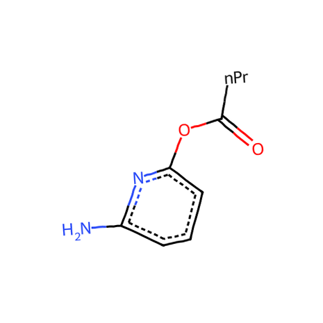 CCCC(=O)Oc1cccc(N)n1